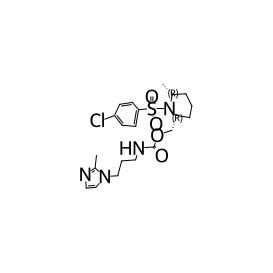 Cc1nccn1CCCNC(=O)OC[C@H]1CCC[C@@H](C)N1S(=O)(=O)c1ccc(Cl)cc1